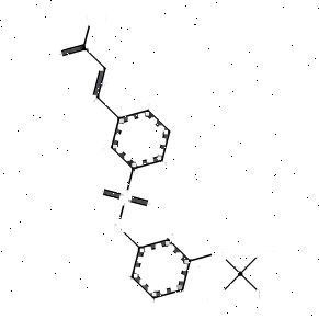 O=C(O)/C=C/c1cccc(S(=O)(=O)Nc2cccc(OC(F)(F)F)c2)c1